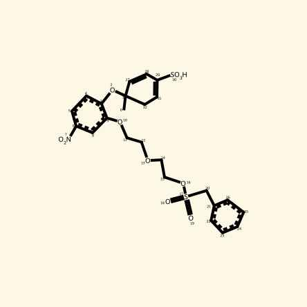 CC1(Oc2ccc([N+](=O)[O-])cc2OCCOCCOS(=O)(=O)Cc2ccccc2)C=CC(S(=O)(=O)O)=CC1